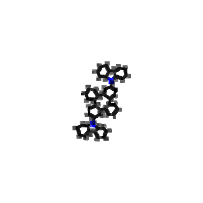 c1ccc2c(c1)-c1ccc(-n3c4ccccc4c4ccccc43)cc1-c1ccccc1-c1ccc(-n3c4ccccc4c4ccccc43)cc1-2